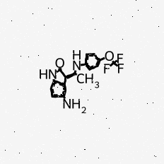 C/C(Nc1ccc(OC(F)(F)F)cc1)=C1/C(=O)Nc2ccc(N)cc21